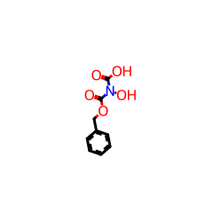 O=C(O)N(O)C(=O)OCc1ccccc1